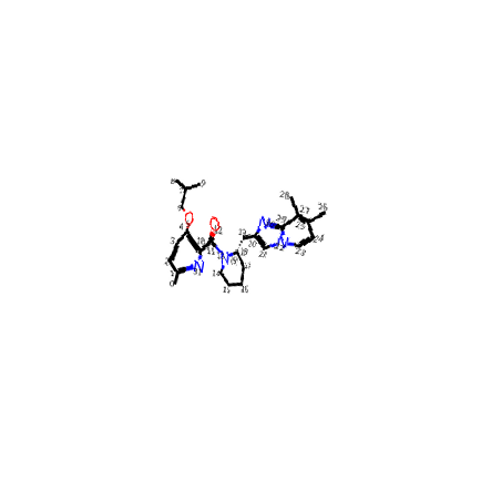 Cc1ccc(OCC(C)C)c(C(=O)N2CCCC[C@H]2Cc2cn3ccc(C)c(C)c3n2)n1